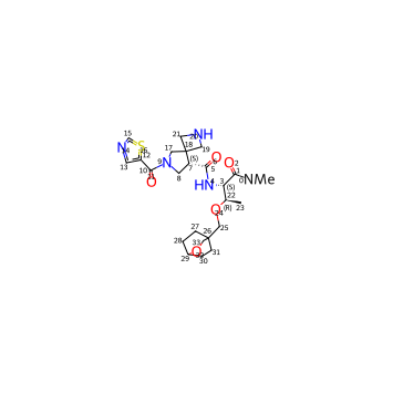 CNC(=O)[C@@H](NC(=O)[C@@H]1CN(C(=O)c2cncs2)CC12CNC2)[C@@H](C)OCC12CCC(CC1)OC2